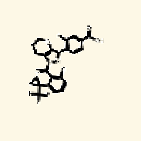 O=C(O)c1ccc(-c2nn(C(=O)c3c(Cl)cccc3C3(C(F)(F)F)CC3)c3c2SCCC3)c(F)c1